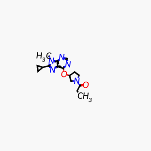 CCC(=O)N1CCC(Oc2ncnc3c2nc(C2CC2)n3C)C1